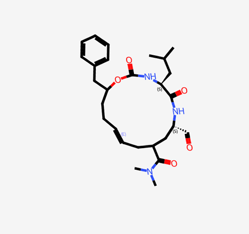 CC(C)C[C@@H]1NC(=O)OC(Cc2ccccc2)CC/C=C/CC(C(=O)N(C)C)C[C@@H](C=O)NC1=O